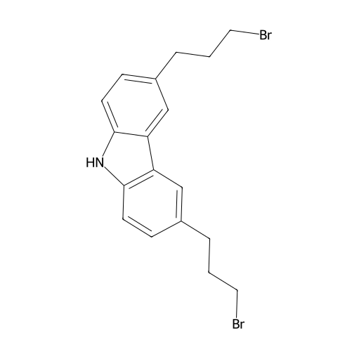 BrCCCc1ccc2[nH]c3ccc(CCCBr)cc3c2c1